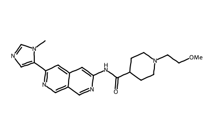 COCCN1CCC(C(=O)Nc2cc3cc(-c4cncn4C)ncc3cn2)CC1